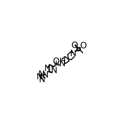 Cc1c(N2CCC3(CCN(C[C@H](O)c4cnc(-n5cnnn5)cn4)CC3)CC2)c(=O)c1=O